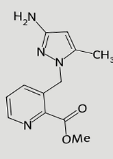 COC(=O)c1ncccc1Cn1nc(N)cc1C